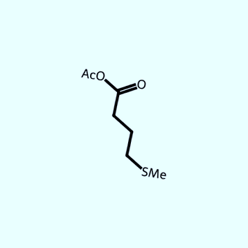 CSCCCC(=O)OC(C)=O